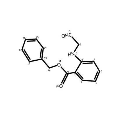 O=[C]CNc1ccccc1C(=O)OCc1ccccc1